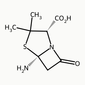 CC1(C)S[C@]2(N)CC(=O)N2[C@H]1C(=O)O